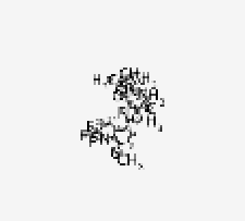 COc1ccc(-c2nc(C(=O)N[C@@H](C)C(C)(C)C)c([C@H](C)N)o2)c2ccc(C(F)(F)F)nc12